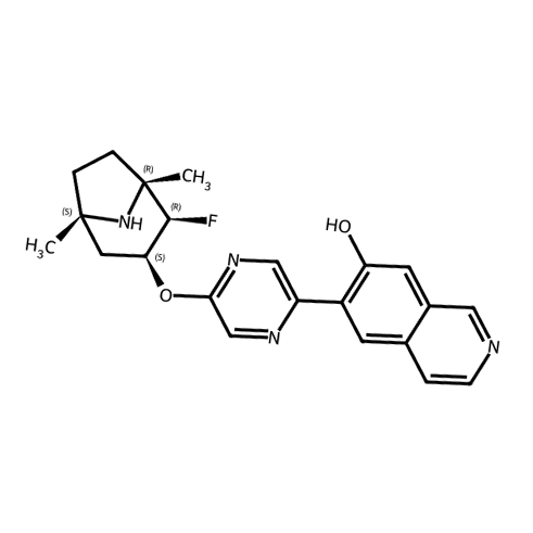 C[C@@]12CC[C@@](C)(N1)[C@@H](F)[C@@H](Oc1cnc(-c3cc4ccncc4cc3O)cn1)C2